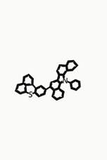 c1ccc(-n2c3c4ccccc4ccc3c3cc(-c4ccc5c(c4)-c4cccc6cccc(c46)S5)c4ccccc4c32)cc1